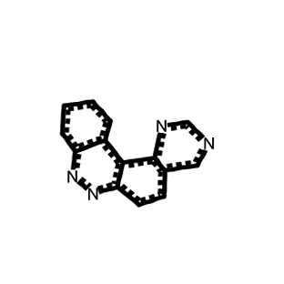 c1ccc2c(c1)nnc1ccc3cncnc3c12